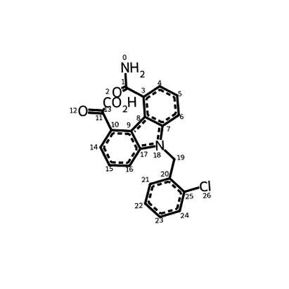 NC(=O)c1cccc2c1c1c(C(=O)C(=O)O)cccc1n2Cc1ccccc1Cl